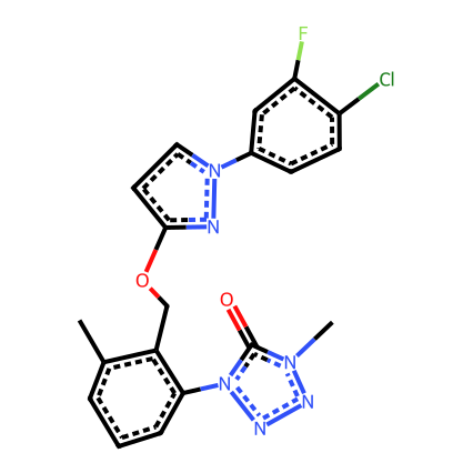 Cc1cccc(-n2nnn(C)c2=O)c1COc1ccn(-c2ccc(Cl)c(F)c2)n1